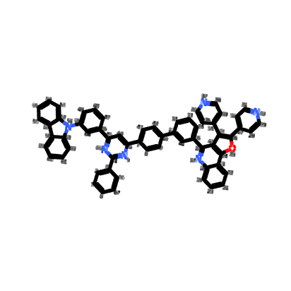 c1ccc(-c2nc(-c3ccc(-c4cccc(-c5nc6ccccc6c6oc(-c7ccncc7)c(-c7ccncc7)c56)c4)cc3)cc(-c3cccc(-n4c5ccccc5c5ccccc54)c3)n2)cc1